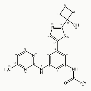 CCCC(=O)Nc1cc(Nc2nccc(C(F)(F)F)n2)cc(-c2cnc(C3(O)CCC3)s2)c1